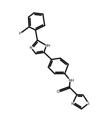 O=C(Nc1ccc(-c2cnc(-c3ccccc3F)[nH]2)cc1)c1cscn1